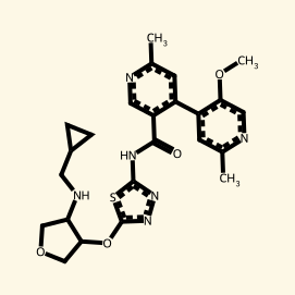 COc1cnc(C)cc1-c1cc(C)ncc1C(=O)Nc1nnc(OC2COCC2NCC2CC2)s1